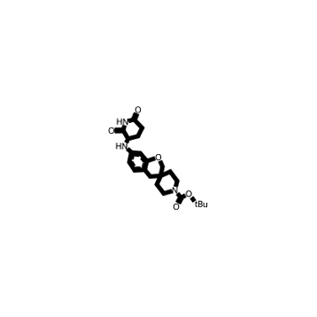 CC(C)(C)OC(=O)N1CCC2(CC1)COc1cc(NC3CCC(=O)NC3=O)ccc1C2